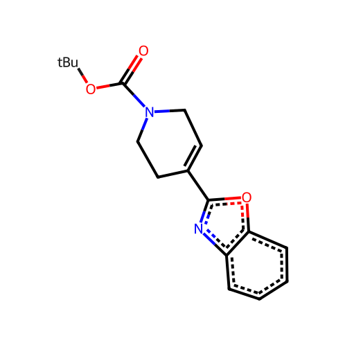 CC(C)(C)OC(=O)N1CC=C(c2nc3ccccc3o2)CC1